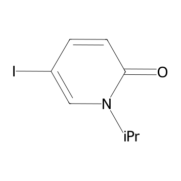 CC(C)n1cc(I)ccc1=O